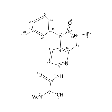 CNC(C)C(=O)Nc1ccc2c(n1)CN(C(C)C)C(=O)N2c1cccc(Cl)c1